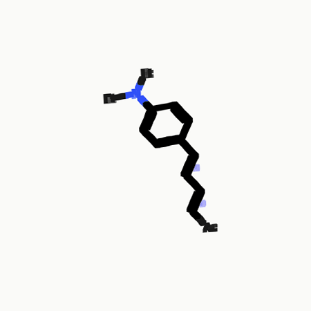 CCN(CC)c1ccc(/C=C/C=C/C(C)=O)cc1